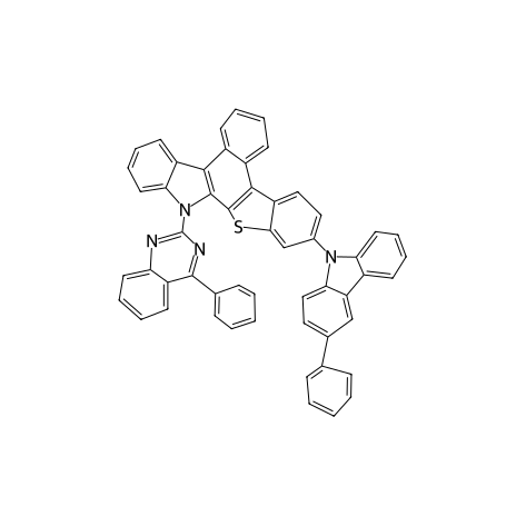 c1ccc(-c2ccc3c(c2)c2ccccc2n3-c2ccc3c(c2)sc2c3c3ccccc3c3c4ccccc4n(-c4nc(-c5ccccc5)c5ccccc5n4)c23)cc1